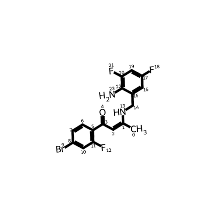 C/C(=C/C(=O)c1ccc(Br)cc1F)NCc1cc(F)cc(F)c1N